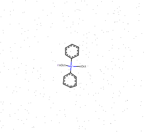 CCCCCCCC[N+](CCCCCCCC)(c1ccccc1)c1ccccc1.[I-]